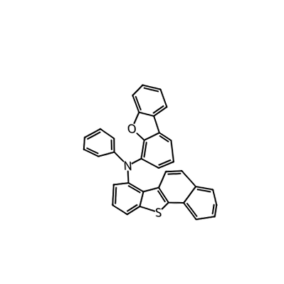 c1ccc(N(c2cccc3c2oc2ccccc23)c2cccc3sc4c5ccccc5ccc4c23)cc1